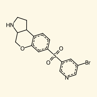 O=S(=O)(c1cncc(Br)c1)c1ccc2c(c1)OCC1NCCC21